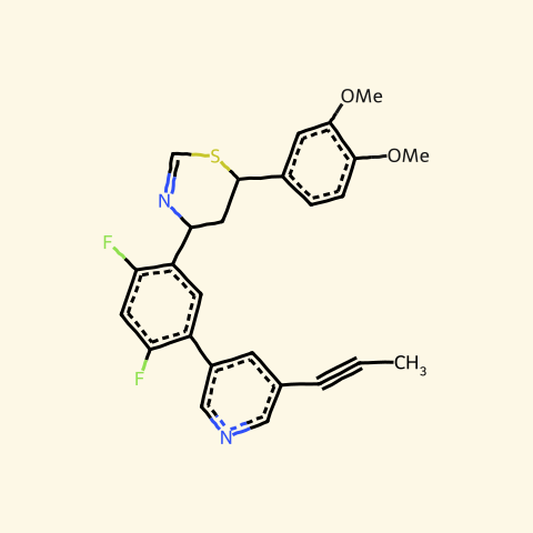 CC#Cc1cncc(-c2cc(C3CC(c4ccc(OC)c(OC)c4)SC=N3)c(F)cc2F)c1